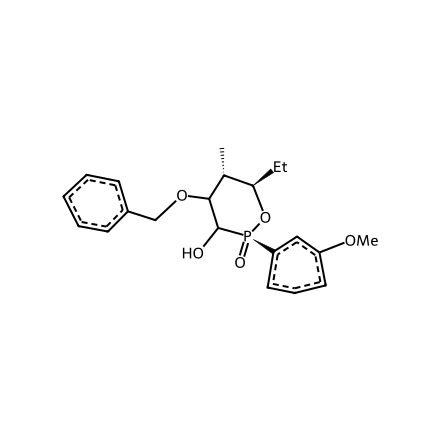 CC[C@H]1O[P@@](=O)(c2cccc(OC)c2)C(O)C(OCc2ccccc2)[C@@H]1C